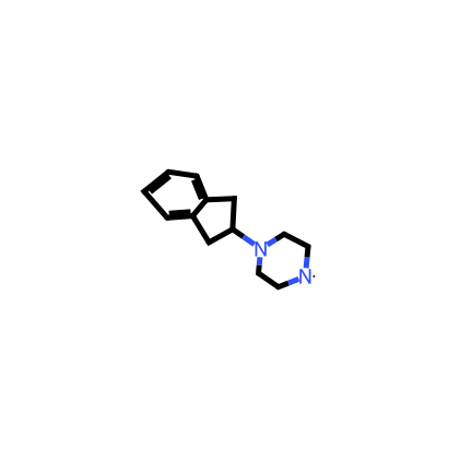 c1ccc2c(c1)CC(N1CC[N]CC1)C2